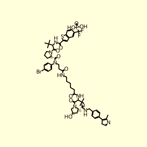 CC1=C(c2ccc(CNC(=O)[C@@H]3C[C@@H](O)CN3C(=O)C(NC(=O)CCCCCNC(=O)CCN(C(=O)[C@@H]3CCCN3C(=O)C(NC(=O)c3cc4cc(C(F)(F)P(=O)(O)O)ccc4s3)C(C)(C)C)c3ccc(Br)cc3)C(C)(C)C)cc2)CC=N1